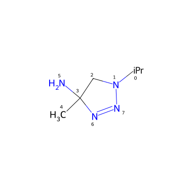 CC(C)N1CC(C)(N)N=N1